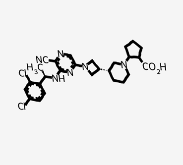 C[C@@H](Nc1nc(N2CC([C@H]3CCCN(C4CCCC4C(=O)O)C3)C2)cnc1C#N)c1ccc(Cl)cc1Cl